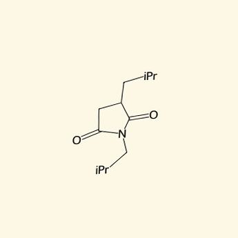 CC(C)CC1CC(=O)N(CC(C)C)C1=O